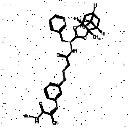 CC(C)(C)NC(=O)C(C#N)=Cc1cccc(OCCC(=O)N[C@@H](Cc2ccccc2)B2O[C@@H]3C[C@@H]4C[C@@H](C4(C)C)[C@]3(C)O2)c1